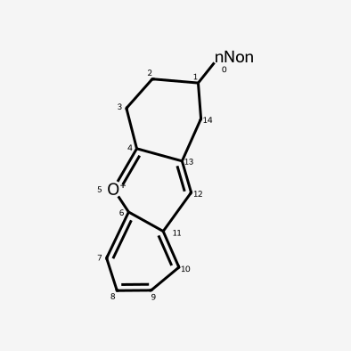 CCCCCCCCCC1CCc2[o+]c3ccccc3cc2C1